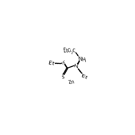 CCOC(=O)NN(CC)C(=S)SCC.[Zn]